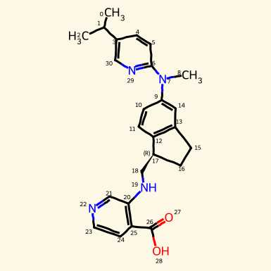 CC(C)c1ccc(N(C)c2ccc3c(c2)CC[C@H]3CNc2cnccc2C(=O)O)nc1